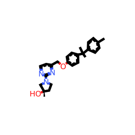 Cc1ccc(C(C)(C)c2ccc(OCc3ccnc(N4CC[C@](C)(O)C4)n3)cc2)cc1